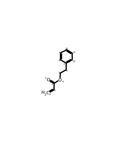 C=CC(=O)OCCc1[c]cccc1